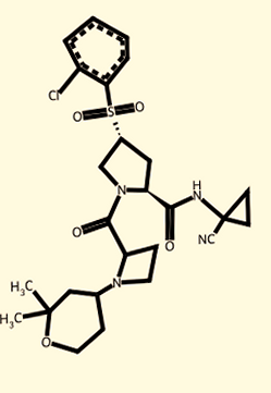 CC1(C)CC(N2CCC2C(=O)N2C[C@H](S(=O)(=O)c3ccccc3Cl)C[C@H]2C(=O)NC2(C#N)CC2)CCO1